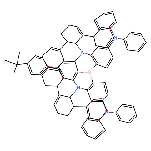 CC(C)(C)c1ccc(-c2cc3c4c(c2)N(C2C(C5CC=CCC5)=CCCC2C2=CCCCC2)c2cc(N(c5ccccc5)c5ccccc5)ccc2B4c2ccc(N(c4ccccc4)c4ccccc4)cc2N3C2C(C3CC=CCC3)=CCCC2C2=CCCCC2)cc1